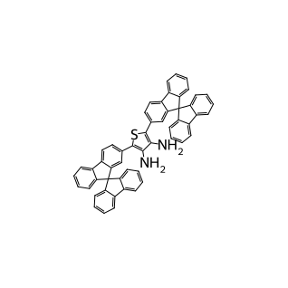 Nc1c(-c2ccc3c(c2)C2(c4ccccc4-c4ccccc42)c2ccccc2-3)sc(-c2ccc3c(c2)C2(c4ccccc4-c4ccccc42)c2ccccc2-3)c1N